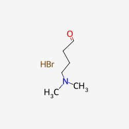 Br.CN(C)CCCC=O